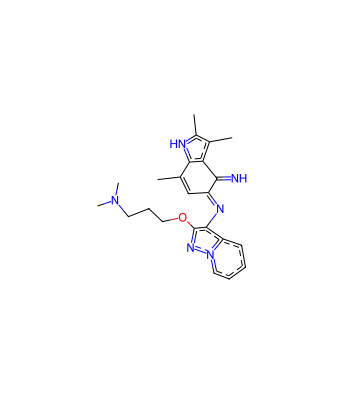 CC1=CC(=Nc2c(OCCCN(C)C)nn3ccccc23)C(=N)c2c1[nH]c(C)c2C